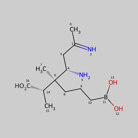 CC(=N)C[C@H](N)[C@@](C)(CCCB(O)O)[C@H](C)C(=O)O